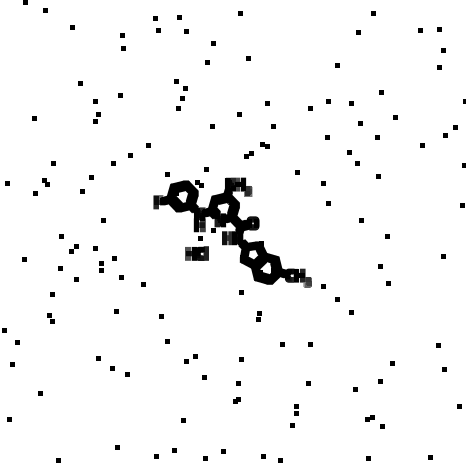 Cc1ccc2c(c1)CC(NC(=O)c1cc(N)cc(Nc3cccc(F)c3)n1)C2.Cl